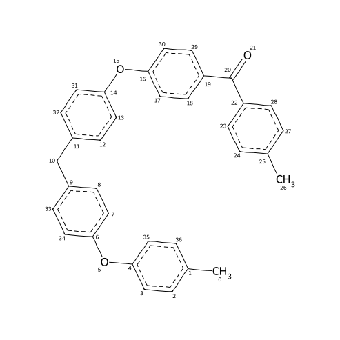 Cc1ccc(Oc2ccc(Cc3ccc(Oc4ccc(C(=O)c5ccc(C)cc5)cc4)cc3)cc2)cc1